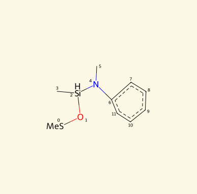 CSO[SiH](C)N(C)c1ccccc1